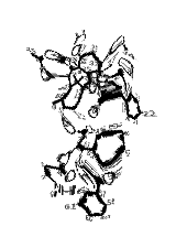 CN/C=C\C(=O)O[C@@H](C(=O)O[C@H]1C[C@@]2(O)[C@@H](OC(=O)c3ccccc3)[C@@H]3[C@@](C)(OC(C)=O)[C@H](OC)C[C@H](O)[C@@]3(C)C(=O)[C@H](OC(C)=O)C(=C1C)C2(C)C)[C@@H](NC(=O)c1ccccc1)c1ccccc1